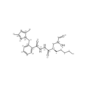 CCCCC[C@H](CN(O)C=O)C(=O)NNC(=O)c1ccccc1Cn1nc(C)cc1C